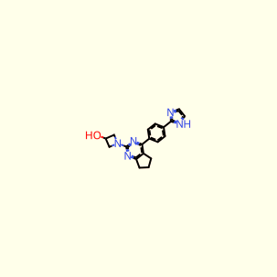 OC1CN(c2nc3c(c(-c4ccc(-c5ncc[nH]5)cc4)n2)CCC3)C1